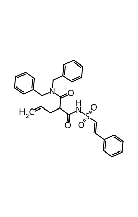 C=CCC(C(=O)NS(=O)(=O)C=Cc1ccccc1)C(=O)N(Cc1ccccc1)Cc1ccccc1